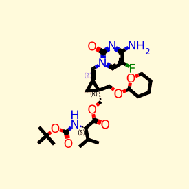 CC(C)[C@H](NC(=O)OC(C)(C)C)C(=O)OC[C@]1(COC2CCCCO2)C/C1=C/n1cc(F)c(N)nc1=O